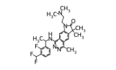 Cc1nnc(NC(C)c2cccc(C(F)F)c2F)c2cc3c(cc12)C(C)(C)C(=O)N3CCN(C)C